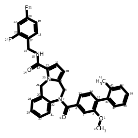 COc1cc(C(=O)N2Cc3ccc(C(=O)NCc4ccc(F)cc4F)n3Cc3ccccc32)ccc1-c1ccccc1C